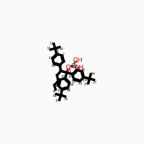 CCCCC(c1ccc(C(C)(C)C)cc1)C(OB(O)O)(c1ccc(C(C)(C)C)cc1)c1ccc(C(C)(C)C)cc1